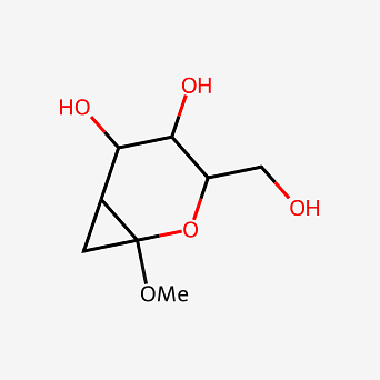 COC12CC1C(O)C(O)C(CO)O2